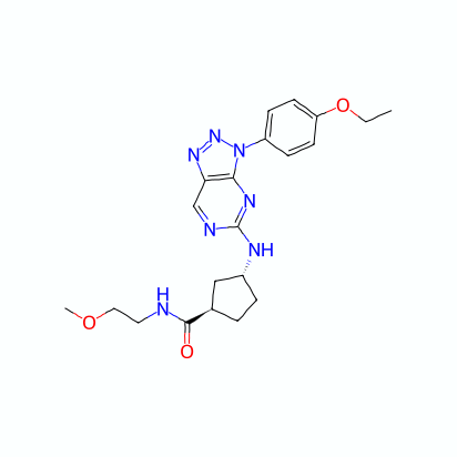 CCOc1ccc(-n2nnc3cnc(N[C@@H]4CC[C@@H](C(=O)NCCOC)C4)nc32)cc1